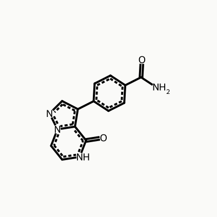 NC(=O)c1ccc(-c2cnn3cc[nH]c(=O)c23)cc1